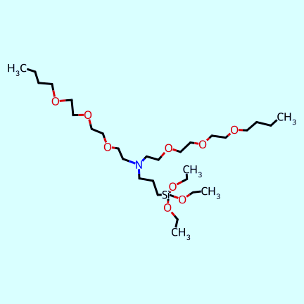 CCCCOCCOCCOCCN(CCC[Si](OCC)(OCC)OCC)CCOCCOCCOCCCC